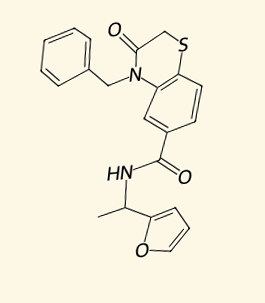 CC(NC(=O)c1ccc2c(c1)N(Cc1ccccc1)C(=O)CS2)c1ccco1